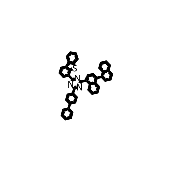 c1ccc(-c2ccc(-c3nc(-c4ccc(-c5cccc6ccccc56)c5ccccc45)nc(-c4cccc5c4sc4ccccc45)n3)cc2)cc1